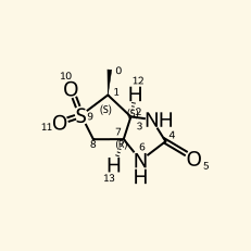 C[C@H]1[C@H]2NC(=O)N[C@H]2CS1(=O)=O